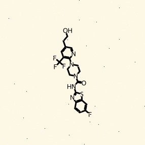 O=C(Nc1nc2ccc(F)cc2s1)N1CCN(c2ncc(CCO)cc2C(F)(F)F)CC1